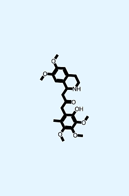 COc1cc2c(cc1OC)C(CC(=O)Cc1c(C)c(OC)c(OC)c(OC)c1O)NCC2